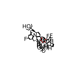 CCC(O)(C#Cc1ccc(-c2cccc3c(NS(C)(=O)=O)nn(C)c23)c([C@H](Cc2cc(F)cc(F)c2)NC(=O)Cn2nc(C(F)(F)F)c3c2C(F)(F)[C@@H]2C#C[C@H]32)n1)CC